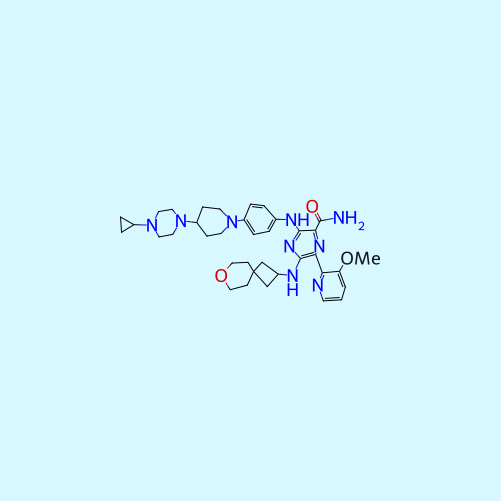 COc1cccnc1-c1nc(C(N)=O)c(Nc2ccc(N3CCC(N4CCN(C5CC5)CC4)CC3)cc2)nc1NC1CC2(CCOCC2)C1